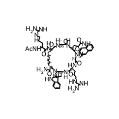 CC(=O)N[C@@H](CCCNC(=N)N)C(=O)N[C@H]1CSSC[C@@H](C(N)=O)NC(=O)[C@H](Cc2c[nH]c3ccccc23)NC(=O)[C@H](CCCNC(=N)N)NC(=O)[C@@H](Cc2ccc3ccccc3c2)NC(=O)[C@H](CCC(N)=O)NC(=O)[C@@H](C)NC1=O